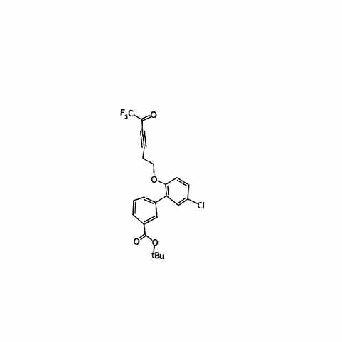 CC(C)(C)OC(=O)c1cccc(-c2cc(Cl)ccc2OCCC#CC(=O)C(F)(F)F)c1